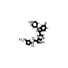 NC1CCC(NC(=O)c2c[nH]c3ncc(-c4nn(C5CCNCC5)c5cc(F)ccc45)nc23)C1